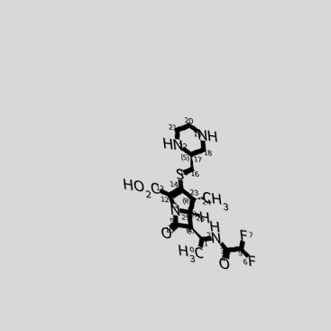 CC(NC(=O)C(F)F)[C@H]1C(=O)N2C(C(=O)O)=C(SC[C@@H]3CNCCN3)[C@H](C)[C@H]12